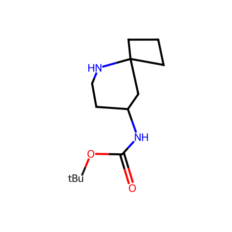 CC(C)(C)OC(=O)NC1CCNC2(CCC2)C1